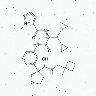 Cn1nccc1C(=O)N[C@H](C(=O)Nc1cccc(C2(C(O)NCC3(C)CCC3)CCOC2)c1)C(C1CC1)C1CC1